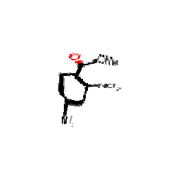 Bc1ccc(C(=O)OC)c([N+](=O)[O-])c1